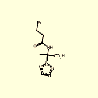 CC(C)CCC(=O)NC(C)(C(=O)O)n1ncnn1